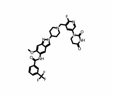 COc1cc2nn(C3CCN(Cc4cc(N5CCC(=O)NC5=O)cnc4F)CC3)cc2cc1NC(=O)c1cccc(C(F)(F)F)c1